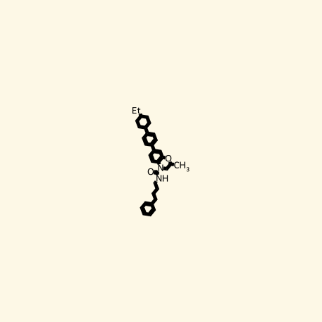 CCC1CCC(c2ccc(-c3ccc4c(c3)OC(C)CN4C(=O)NCCCCc3ccccc3)cc2)CC1